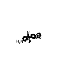 CCn1c(-c2ccc(N3CCCS3(=O)=O)cc2)c(C#N)c2ccc(N)cc21